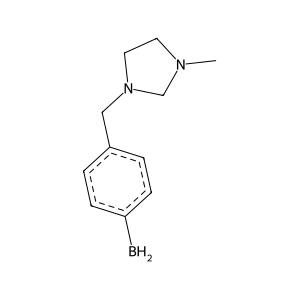 Bc1ccc(CN2CCN(C)C2)cc1